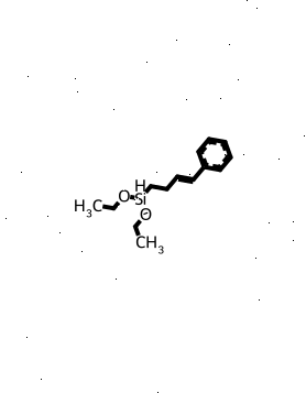 CCO[SiH](CCC=Cc1ccccc1)OCC